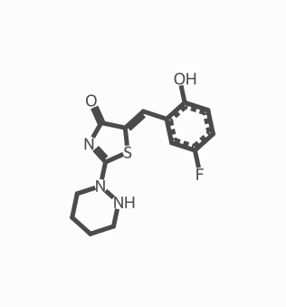 O=C1N=C(N2CCCCN2)SC1=Cc1cc(F)ccc1O